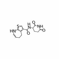 O=C1CCC(NC(=O)c2csc3c2CCC=CN3)C(=O)N1